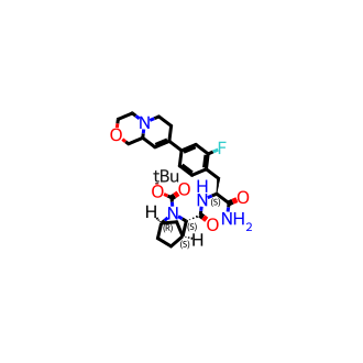 CC(C)(C)OC(=O)N1[C@@H]2CC[C@@H](C2)[C@H]1C(=O)N[C@@H](Cc1ccc(C2=CC3COCCN3CC2)cc1F)C(N)=O